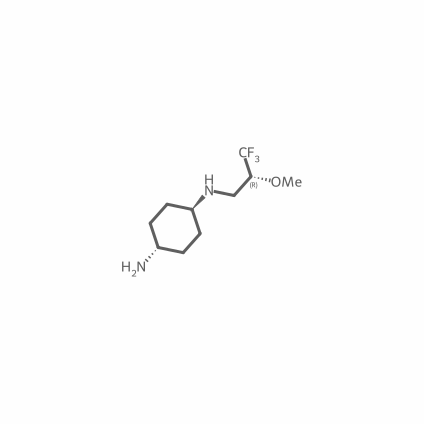 CO[C@H](CN[C@H]1CC[C@H](N)CC1)C(F)(F)F